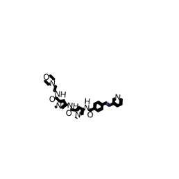 Cn1cc(NC(=O)c2cc(NC(=O)c3ccc(/C=C/c4cccnc4)cc3)cn2C)cc1C(=O)NCCN1CCOCC1